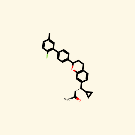 COC(=O)C[C@H](c1ccc2c(c1)OC(c1ccc(-c3cc(C)ccc3F)cc1)CC2)C1CC1